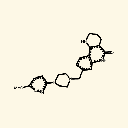 COc1ccc(N2CCN(Cc3ccc4c5c(c(=O)[nH]c4c3)CCCN5)CC2)nn1